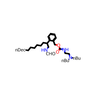 CCCCCCCCCCCCCCCCC(CNC=O)c1ccccc1COC(=O)NCCN(CCCC)CCCC